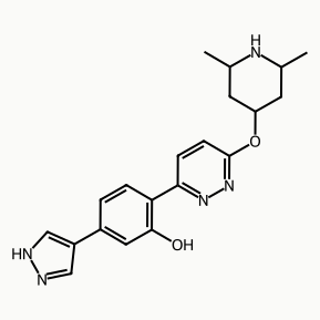 CC1CC(Oc2ccc(-c3ccc(-c4cn[nH]c4)cc3O)nn2)CC(C)N1